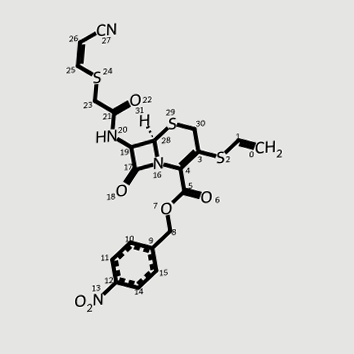 C=CSC1=C(C(=O)OCc2ccc([N+](=O)[O-])cc2)N2C(=O)C(NC(=O)CS/C=C\C#N)[C@H]2SC1